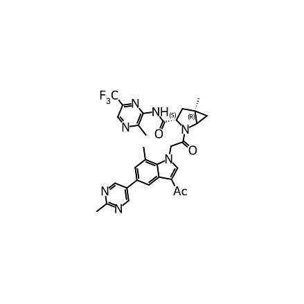 CC(=O)c1cn(CC(=O)N2C3C[C@]3(C)C[C@H]2C(=O)Nc2nc(C(F)(F)F)cnc2C)c2c(C)cc(-c3cnc(C)nc3)cc12